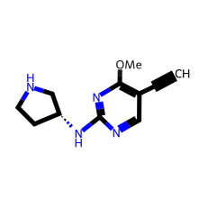 C#Cc1cnc(N[C@@H]2CCNC2)nc1OC